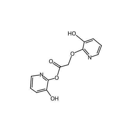 O=C(COc1ncccc1O)Oc1ncccc1O